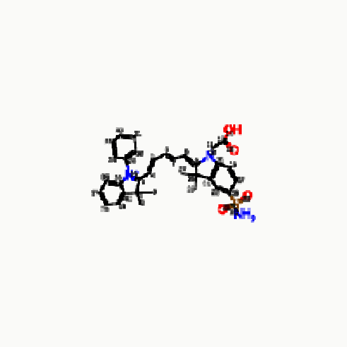 CC1(C)C(/C=C/C=C/C=C2/N(CC(=O)O)c3ccc(S(N)(=O)=O)cc3C2(C)C)=[N+](c2ccccc2)c2ccccc21